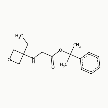 CCC1(NCC(=O)OC(C)(C)c2ccccc2)COC1